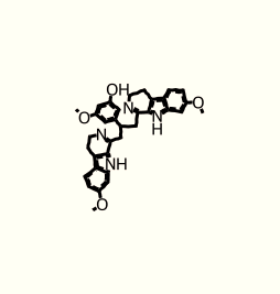 COc1cc(O)cc(C(CC2=NCCc3c2[nH]c2cc(OC)ccc32)CC2=NCCc3c2[nH]c2cc(OC)ccc32)c1